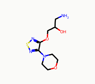 NCC(O)COc1nsnc1N1CCOCC1